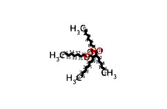 CCCCCCCCOC(=O)C(CCCCCC)=C(CCCCCCCC)C(=O)OCCCCCCCC